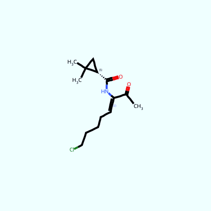 CC(=O)/C(=C/CCCCCl)NC(=O)[C@H]1CC1(C)C